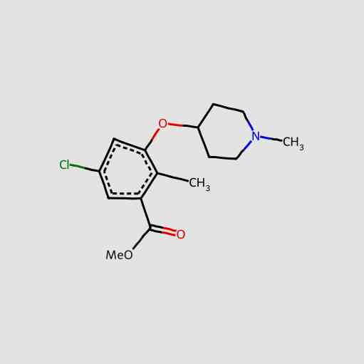 COC(=O)c1cc(Cl)cc(OC2CCN(C)CC2)c1C